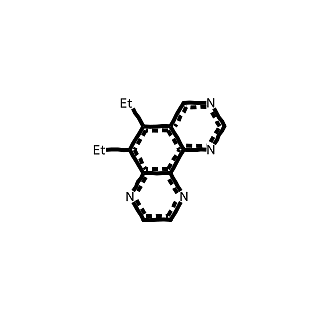 CCc1c(CC)c2nccnc2c2ncncc12